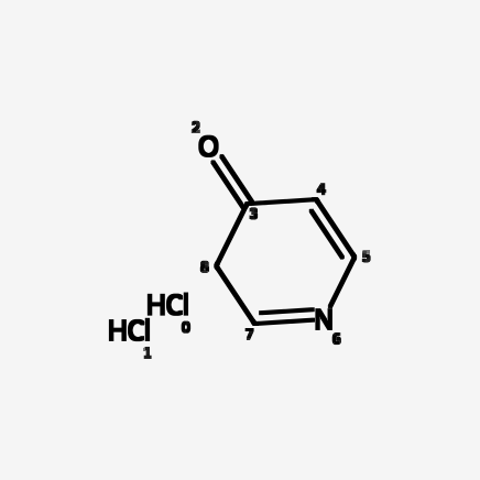 Cl.Cl.O=C1C=CN=CC1